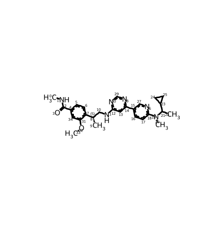 CNC(=O)c1ccc([C@H](C)CNc2cc(-c3ccc(N(C)C(C)C4CC4)nc3)ncn2)c(OC)c1